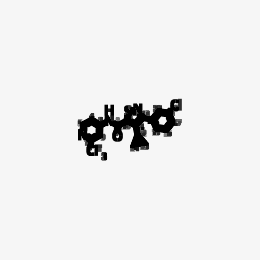 O=C(Nc1ccnc(C(F)(F)F)c1)c1snc(-c2cccc(Cl)c2)c1C1CC1